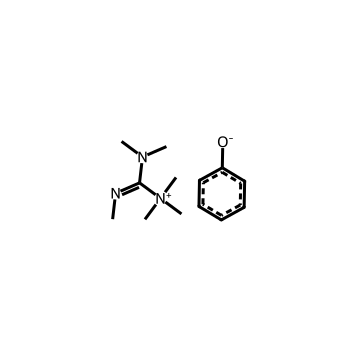 CN=C(N(C)C)[N+](C)(C)C.[O-]c1ccccc1